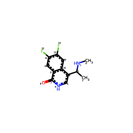 CNC(C)c1c[nH]c(=O)c2cc(F)c(F)cc12